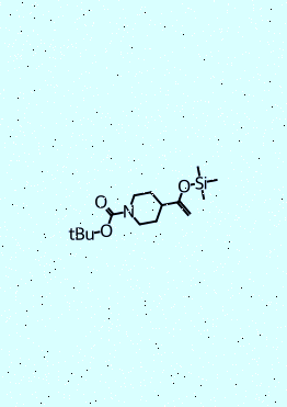 C=C(O[Si](C)(C)C)C1CCN(C(=O)OC(C)(C)C)CC1